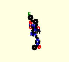 CC(C)c1c(/C=c2\[nH]c(=O)/c(=C/c3cccc(C(=O)c4ccc(F)cc4)c3)[nH]c2=O)ncn1CCCN1CCN(C(=O)c2ccccc2)CC1